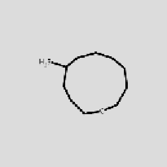 BC1CCCCCCCCCC1